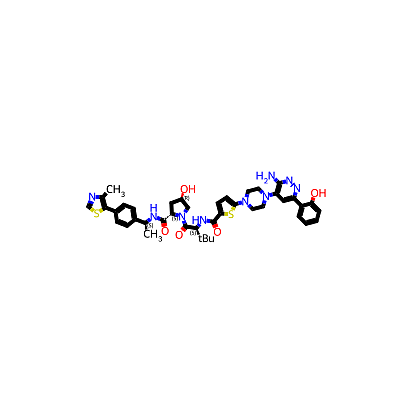 Cc1ncsc1-c1ccc([C@H](C)NC(=O)[C@@H]2C[C@@H](O)CN2C(=O)[C@@H](NC(=O)c2ccc(N3CCN(c4cc(-c5ccccc5O)nnc4N)CC3)s2)C(C)(C)C)cc1